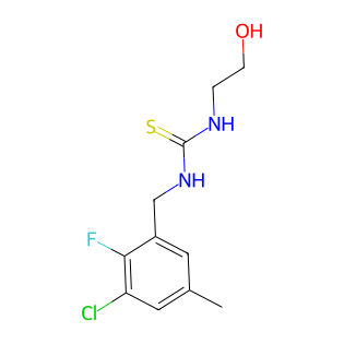 Cc1cc(Cl)c(F)c(CNC(=S)NCCO)c1